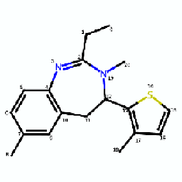 CCC1=Nc2ccc(C)cc2CC(c2sccc2C)N1C